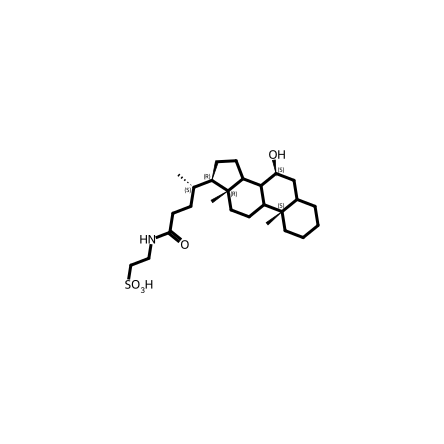 C[C@@H](CCC(=O)NCCS(=O)(=O)O)[C@H]1CCC2C3C(CC[C@@]21C)[C@@]1(C)CCCCC1C[C@@H]3O